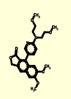 COCCN(CCOC)c1ccc(-c2c3c(cc4cc(OC)c(OC)cc24)COC3=O)cn1